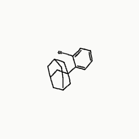 C[CH]c1ccccc1C12CC3CC(CC(C3)C1)C2